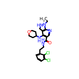 CCN1NCc2c1ncc(C(=O)NCCc1cccc(Cl)c1Cl)c2NC1CCOCC1